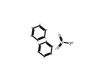 [O]=[V](=[O])[OH].c1ccccc1.c1ccccc1